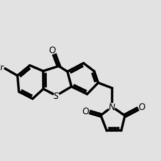 O=C1C=CC(=O)N1Cc1ccc2c(=O)c3cc(Br)ccc3sc2c1